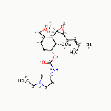 CO[C@@H]1[C@H](OC(=O)N[C@@H]2CCN(CC(=O)O)C2)CC[C@]2(CO2)[C@H]1[C@@]1(C)OC1CC=C(C)C